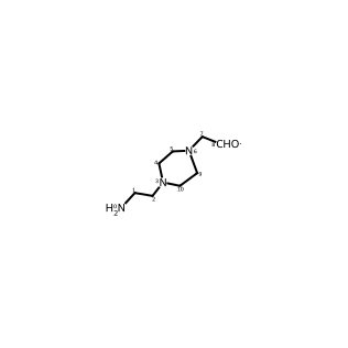 NCCN1CCN(C[C]=O)CC1